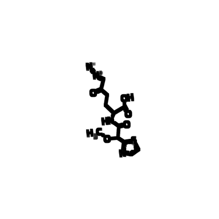 COC(C(=O)NC(CCC(=O)C=[N+]=[N-])C(=O)O)c1nccs1